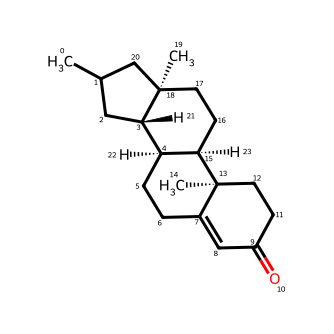 CC1C[C@H]2[C@@H]3CCC4=CC(=O)CC[C@]4(C)[C@@H]3CC[C@]2(C)C1